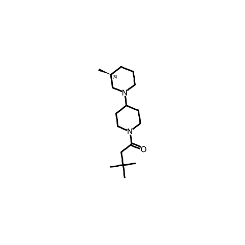 C[C@H]1CCCN(C2CCN(C(=O)CC(C)(C)C)CC2)C1